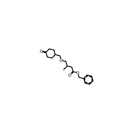 O=C1CCC(COCC(I)CC(=O)OCc2ccccc2)CC1